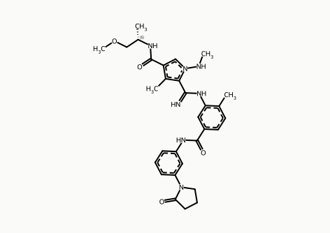 CNn1cc(C(=O)N[C@@H](C)COC)c(C)c1C(=N)Nc1cc(C(=O)Nc2cccc(N3CCCC3=O)c2)ccc1C